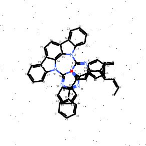 C=C/C(=C\C=C/C)c1cc(-c2ccccc2)nc(-n2c3ccccc3c3ccc4c5ccccc5n(-c5nc(-c6ccccc6)nc(-c6ccccc6)n5)c4c32)n1